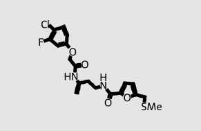 C=C(CCNC(=O)c1ccc(CSC)o1)NC(=O)COc1ccc(Cl)c(F)c1